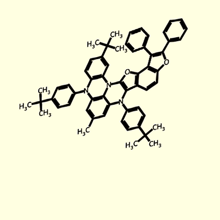 Cc1cc2c3c(c1)N(c1ccc(C(C)(C)C)cc1)c1c(oc4c1ccc1oc(-c5ccccc5)c(-c5ccccc5)c14)N3c1cc(C(C)(C)C)ccc1N2c1ccc(C(C)(C)C)cc1